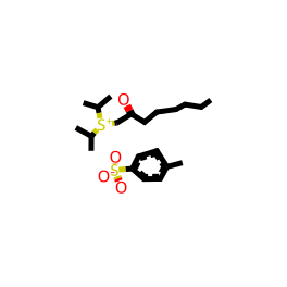 CCCCCCC(=O)C[S+](C(C)C)C(C)C.Cc1ccc(S(=O)(=O)[O-])cc1